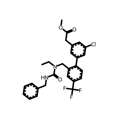 CCN(Cc1cc(C(F)(F)F)ccc1-c1cc(Cl)cc(CC(=O)OC)c1)C(=O)NCc1ccccc1